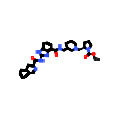 CC(C)(C)OC(=O)N1CCC[C@H]1CN1CCCC(CNC(=O)c2cccc3[nH]c(NC(=O)c4cc5ccccc5cn4)nc23)C1